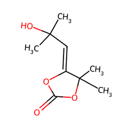 CC(C)(O)/C=C1\OC(=O)OC1(C)C